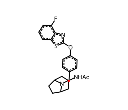 CC(=O)NC1CC2CCC(C1)N2Cc1ccc(Oc2nc3c(F)cccc3s2)cc1